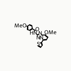 COc1ccc(C(=O)Nc2nc3c(OC)ccc(-c4cccs4)n3n2)cc1